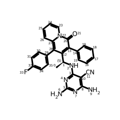 C[C@H](Nc1nc(N)nc(N)c1C#N)c1c(-c2ccccc2)c(=O)n2ccccc2c1-c1ccc(F)cc1